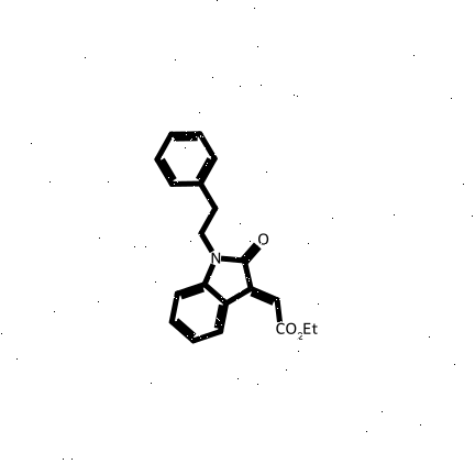 CCOC(=O)/C=C1/C(=O)N(CCc2ccccc2)c2ccccc21